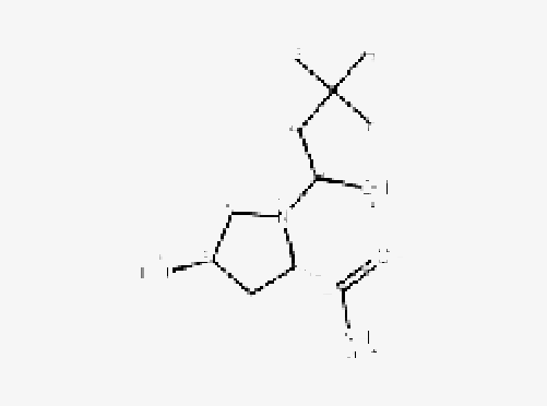 CC(C)(C)CC(O)N1C[C@H](O)C[C@H]1C(N)=O